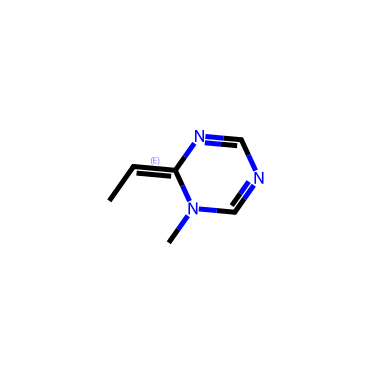 C/C=C1/N=CN=CN1C